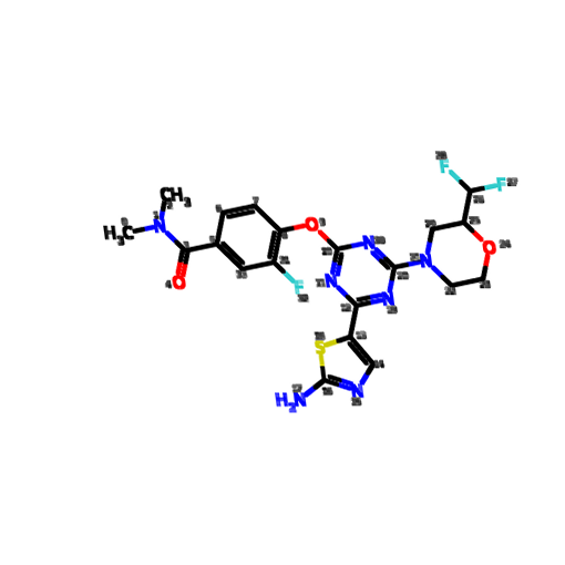 CN(C)C(=O)c1ccc(Oc2nc(-c3cnc(N)s3)nc(N3CCOC(C(F)F)C3)n2)c(F)c1